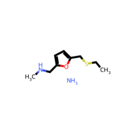 CCSCc1ccc(CNC)o1.N